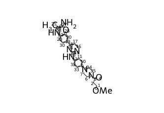 COCCC(=O)N1CCN(c2ccc(Nc3nccc(-c4ccc(N[C@H](C)C(N)=O)cc4)n3)cc2)CC1